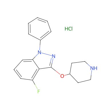 Cl.Fc1cccc2c1c(OC1CCNCC1)nn2-c1ccccc1